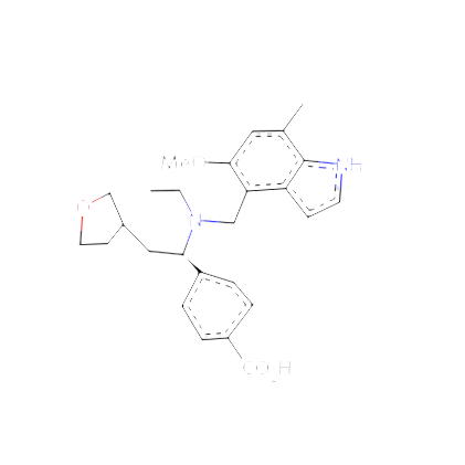 COc1cc(C)c2[nH]ccc2c1CN1CC[C@@]2(CCOC2)C[C@@H]1c1ccc(C(=O)O)cc1